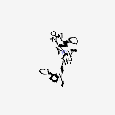 CCN(CCNC/C(=N/c1cc(=O)n(C)c(=O)n1C)N(C)CC)C1=CC(Cl)CC=C1